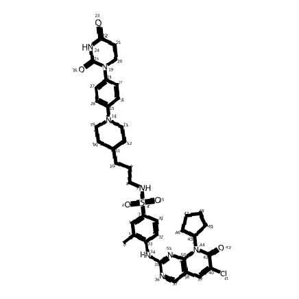 Cc1cc(S(=O)(=O)NCCCC2CCN(c3ccc(N4CCC(=O)NC4=O)cc3)CC2)ccc1Nc1ncc2cc(Cl)c(=O)n(C3CCCC3)c2n1